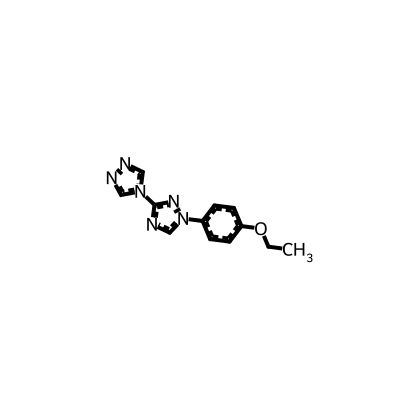 CCOc1ccc(-n2cnc(-n3cnnc3)n2)cc1